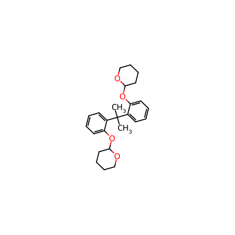 CC(C)(c1ccccc1OC1CCCCO1)c1ccccc1OC1CCCCO1